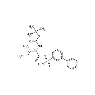 CC[C@H](C)[C@H](NC(=O)OC(C)(C)C)C(=O)N=S(N)(=O)c1cccc(-c2ccccc2)c1